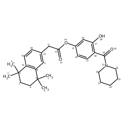 CC1(C)CCC(C)(C)c2cc(CC(=O)Oc3ccc(C(=O)N4CCCCC4)c(O)c3)ccc21